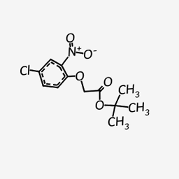 CC(C)(C)OC(=O)COc1ccc(Cl)cc1[N+](=O)[O-]